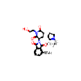 CCN1CCC[C@H]1C(=O)O.CNc1cccc2c1C(=O)N(C1CCC(=O)N(CCO)C1=O)C2=O